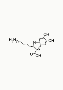 NOCCCCc1nc2cc(O)c(O)cc2nc1C(=O)O